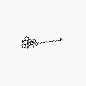 O=C(OCCCCCCCCCCCCBr)C(F)(F)S(=O)(=O)O[I+](c1ccccc1F)c1ccccc1F